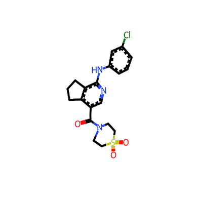 O=C(c1cnc(Nc2cccc(Cl)c2)c2c1CCC2)N1CCS(=O)(=O)CC1